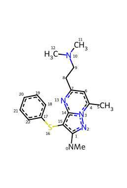 CNc1nn2c(C)cc(CCN(C)C)nc2c1Sc1ccccc1